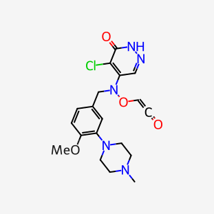 COc1ccc(CN(OC=C=O)c2cn[nH]c(=O)c2Cl)cc1N1CCN(C)CC1